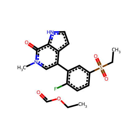 CCOC=O.CCS(=O)(=O)c1ccc(F)c(-c2cn(C)c(=O)c3[nH]ccc23)c1